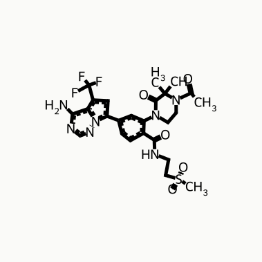 CC(=O)N1CCN(c2cc(-c3cc(C(F)(F)F)c4c(N)ncnn34)ccc2C(=O)NCCS(C)(=O)=O)C(=O)C1(C)C